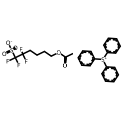 CC(=O)OCCCCC(F)(F)C(F)(F)S(=O)(=O)[O-].c1ccc([S+](c2ccccc2)c2ccccc2)cc1